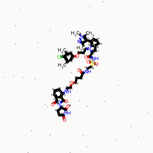 Cc1cc(OCCCn2c(C(=O)NS(=O)(=O)CCNC(=O)CCCOCCNc3cccc4c3C(=O)N(C3CCC(=O)NC3=O)C4=O)cc3cccc(-c4c(C)nn(C)c4C)c32)cc(C)c1Cl